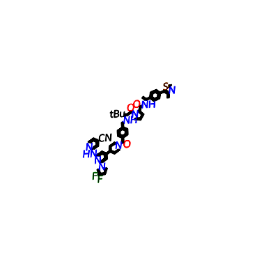 Cc1ncsc1-c1ccc(C(C)NC(=O)C2CCCN2C(=O)C(NCc2ccc(C(=O)N3CCC(c4cc(Nc5cc(C#N)ccn5)nc(N5CCC(F)(F)C5)c4)CC3)cc2)C(C)(C)C)cc1